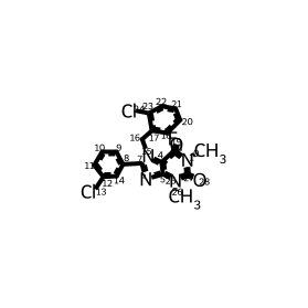 Cn1c(=O)c2c(nc(-c3cccc(Cl)c3)n2Cc2c(F)cccc2Cl)n(C)c1=O